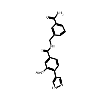 COc1cc(C(=O)NCc2cccc(C(N)=O)c2)ccc1-c1cn[nH]c1